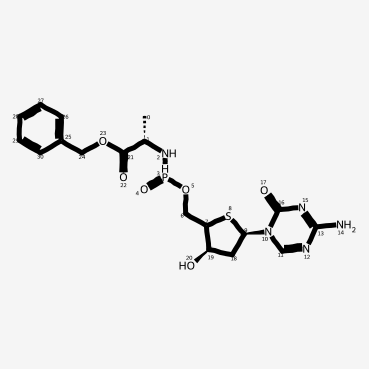 C[C@H](N[PH](=O)OCC1S[C@@H](n2cnc(N)nc2=O)C[C@H]1O)C(=O)OCc1ccccc1